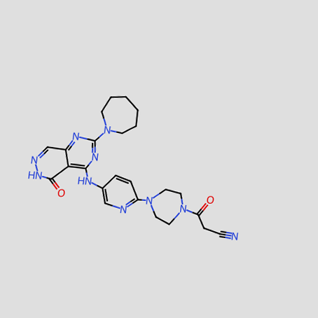 N#CCC(=O)N1CCN(c2ccc(Nc3nc(N4CCCCCC4)nc4cn[nH]c(=O)c34)cn2)CC1